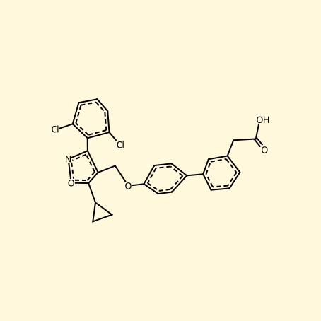 O=C(O)Cc1cccc(-c2ccc(OCc3c(-c4c(Cl)cccc4Cl)noc3C3CC3)cc2)c1